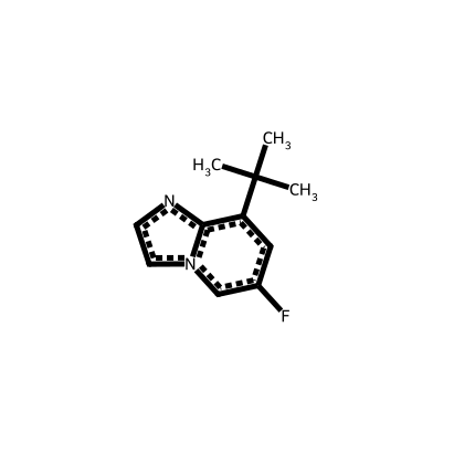 CC(C)(C)c1cc(F)cn2ccnc12